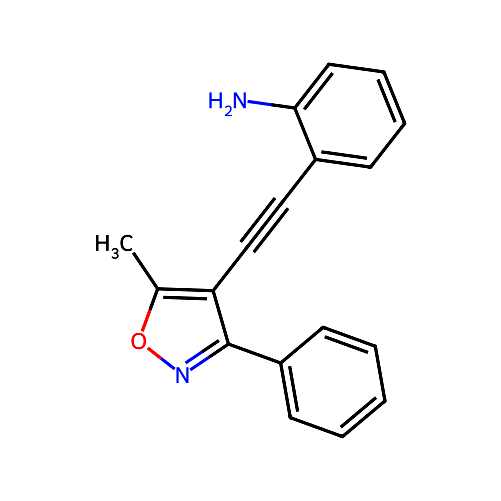 Cc1onc(-c2ccccc2)c1C#Cc1ccccc1N